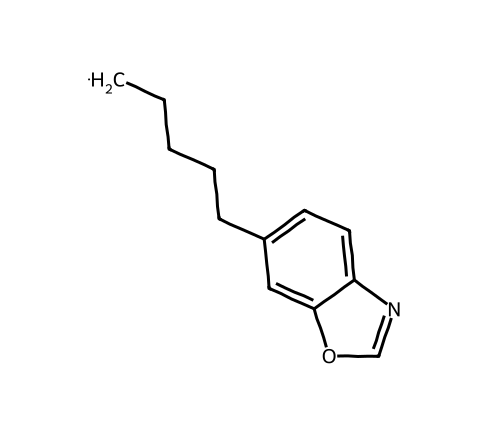 [CH2]CCCCc1ccc2ncoc2c1